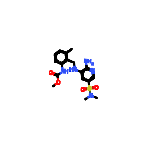 COC(=O)Nc1cccc(C)c1CNc1cc(S(=O)(=O)N(C)C)cnc1N